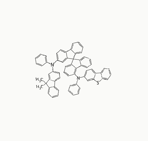 CC1(C)c2ccccc2-c2ccc(N(c3ccccc3)c3ccc4c(c3)C3(c5ccccc5-4)c4ccccc4-c4c(N(c5ccccc5)c5ccc6c(c5)sc5ccccc56)cccc43)cc21